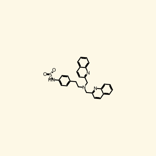 O=[SH](=O)Nc1ccc(CCN(Cc2ccc3ccccc3n2)Cc2ccc3ccccc3n2)cc1